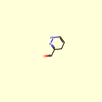 O=[C]C1=NNC=CC1